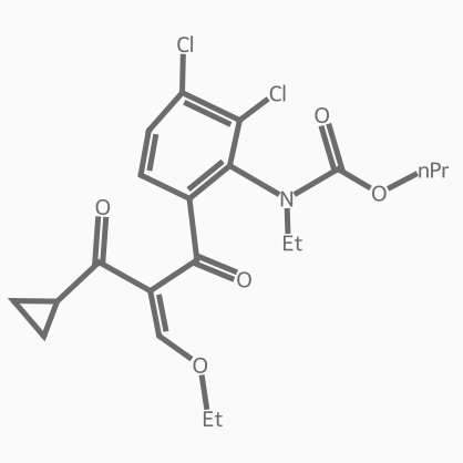 CCCOC(=O)N(CC)c1c(C(=O)/C(=C\OCC)C(=O)C2CC2)ccc(Cl)c1Cl